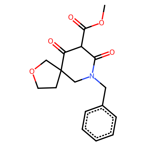 COC(=O)C1C(=O)N(Cc2ccccc2)CC2(CCOC2)C1=O